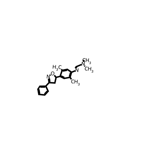 Cc1cc(C2CC(c3ccccc3)=NO2)c(C)cc1N=CN(C)C